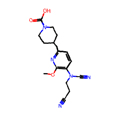 COc1nc(C2CCN(C(=O)O)CC2)ccc1N(C#N)CCC#N